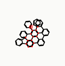 c1ccc(-c2cccc(-c3cccc(-c4ccccc4)c3-c3cccc4oc5ccccc5c34)c2-c2ccc(-c3ccccc3)c(-c3ccccc3)c2-c2cccc3c2Cc2ccccc2-3)cc1